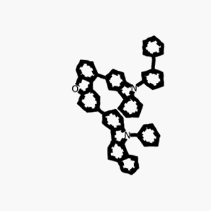 c1ccc(-c2cccc(-n3c4ccccc4c4cc(-c5cccc6oc7ccc(-c8ccc9c(c8)c8ccc%10ccccc%10c8n9-c8ccccc8)cc7c56)ccc43)c2)cc1